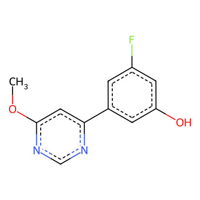 COc1cc(-c2cc(O)cc(F)c2)ncn1